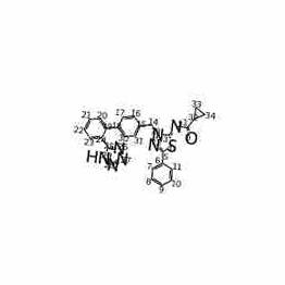 O=C(N=c1sc(-c2ccccc2)nn1Cc1ccc(-c2ccccc2-c2nnn[nH]2)cc1)C1CC1